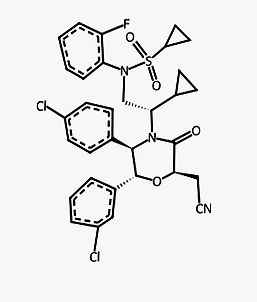 N#CC[C@H]1O[C@H](c2cccc(Cl)c2)[C@@H](c2ccc(Cl)cc2)N([C@H](CN(c2ccccc2F)S(=O)(=O)C2CC2)C2CC2)C1=O